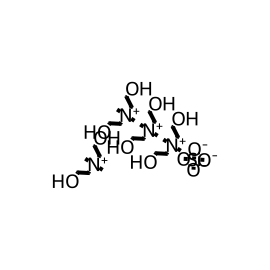 C[N+](C)(CCO)CCO.C[N+](C)(CCO)CCO.C[N+](C)(CCO)CCO.C[N+](C)(CCO)CCO.[O-][Si]([O-])([O-])[O-]